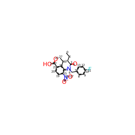 CCCC(=O)N(Cc1ccc(F)cc1)c1c([N+](=O)[O-])ccc(C(=O)O)c1CC